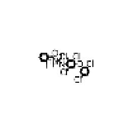 O=C(NC(=O)c1ccccc1F)Nc1c(Cl)cc(Oc2cc(Cl)ccc2Cl)c(Cl)c1Cl